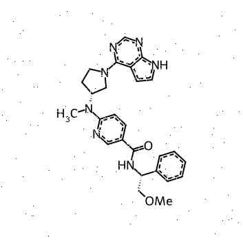 COC[C@H](NC(=O)c1ccc(N(C)[C@@H]2CCN(c3ncnc4[nH]ccc34)C2)nc1)c1ccccc1